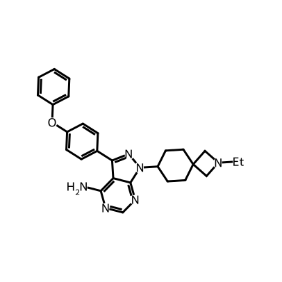 CCN1CC2(CCC(n3nc(-c4ccc(Oc5ccccc5)cc4)c4c(N)ncnc43)CC2)C1